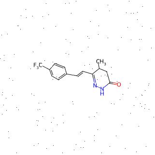 CC1CC(=O)NN=C1C=Cc1ccc(C(F)(F)F)cc1